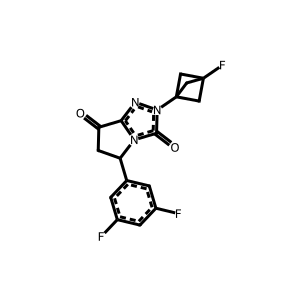 O=C1CC(c2cc(F)cc(F)c2)n2c1nn(C13CC(F)(C1)C3)c2=O